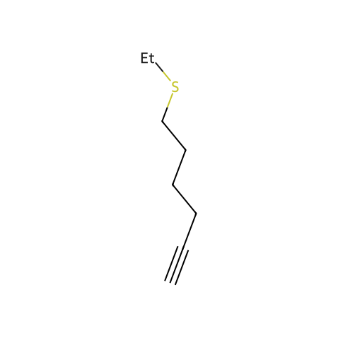 C#CCCCCSC[CH2]